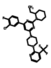 CCC1CCCCN1c1nc(-c2ccc(F)c(Cl)c2)cc(N2CCN(c3ncccc3C(F)(F)F)CC2)n1